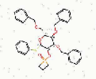 O=P1(O[C@@H]2[C@@H](OCc3ccccc3)[C@H](OCc3ccccc3)[C@@H](COCc3ccccc3)O[C@H]2Sc2ccccc2)CCC1